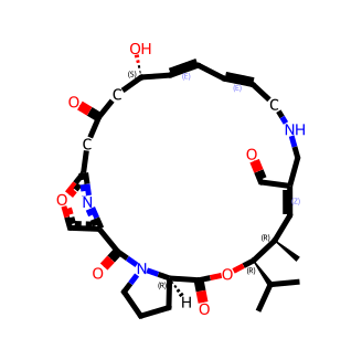 CC(C)[C@H]1OC(=O)[C@H]2CCCN2C(=O)c2coc(n2)CC(=O)C[C@H](O)/C=C/C=C/CNC/C(C=O)=C/[C@H]1C